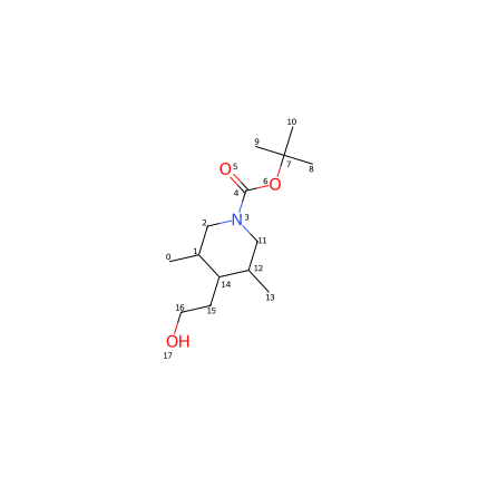 CC1CN(C(=O)OC(C)(C)C)CC(C)C1CCO